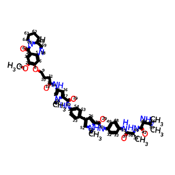 COc1cc2c(cc1OCCCC(=O)Nc1cc(C(=O)Nc3ccc(-c4cc(C(=O)Nc5ccc(NC(=O)[C@H](C)NC(=O)[C@@H](N)C(C)C)cc5)n(C)c4)cc3)n(C)c1)N=C[C@@H]1CCCCN1C2=O